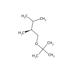 CC(C)[C@H](C)COC(C)(C)C